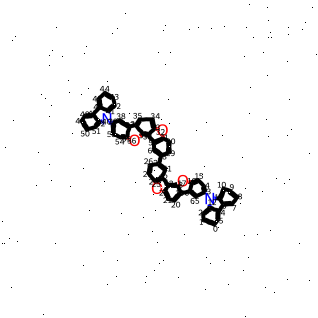 c1ccc2c(c1)c1ccccc1n2-c1ccc2oc3c(ccc4oc5ccc(-c6ccc7oc8ccc9c%10cc(-n%11c%12ccccc%12c%12ccccc%12%11)ccc%10oc9c8c7c6)cc5c43)c2c1